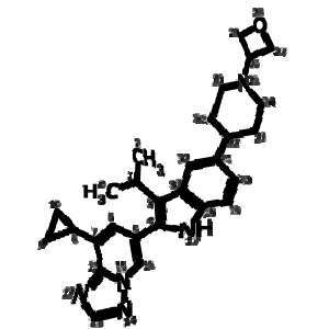 CC(C)c1c(-c2cc(C3CC3)c3ncnn3c2)[nH]c2ccc(C3CCN(C4COC4)CC3)cc12